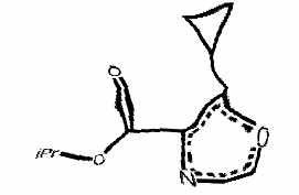 CC(C)OC(=O)c1ncoc1C1CC1